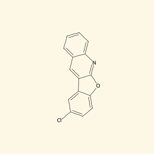 Clc1ccc2oc3nc4ccccc4cc3c2c1